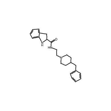 O=C(NCCN1CCC(Cc2ccccc2)CC1)C1Cc2ccccc2N1